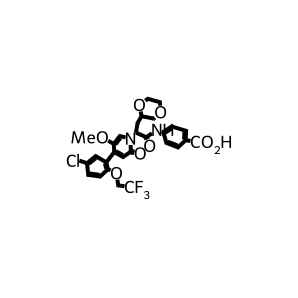 COc1cn(C(CC2COCCO2)C(=O)Nc2ccc(C(=O)O)cc2)c(=O)cc1-c1cc(Cl)ccc1OCC(F)(F)F